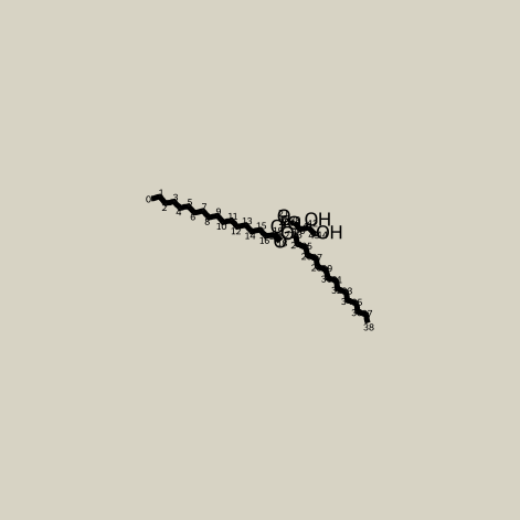 CCCCCCCCCCCCCCCCCC(=O)OP(=O)(OCCCCCCCCCCCCCCCC)OCC(O)CO